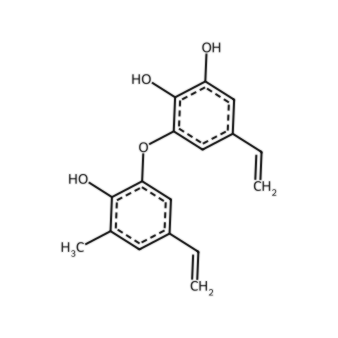 C=Cc1cc(C)c(O)c(Oc2cc(C=C)cc(O)c2O)c1